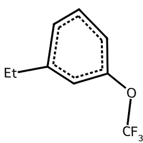 CCc1cccc(OC(F)(F)F)c1